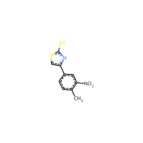 Cc1ccc(-c2csc(S)n2)cc1[N+](=O)[O-]